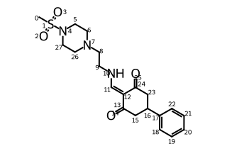 CS(=O)(=O)N1CCN(CCNC=C2C(=O)CC(c3ccccc3)CC2=O)CC1